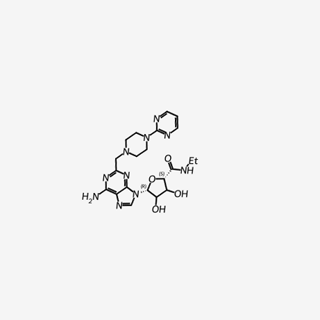 CCNC(=O)[C@H]1O[C@@H](n2cnc3c(N)nc(CN4CCN(c5ncccn5)CC4)nc32)C(O)C1O